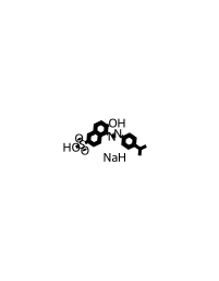 CC(C)c1ccc(N=Nc2c(O)ccc3cc(S(=O)(=O)O)ccc23)cc1.[NaH]